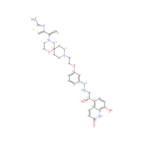 C=C(c1csc(C)n1)N1CCOC2(CCN(CCOc3cccc(CNC[C@H](O)c4ccc(O)c5[nH]c(=O)ccc45)c3)CC2)C1